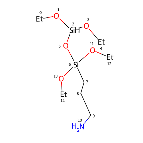 CCO[SiH](OCC)O[Si](CCCN)(OCC)OCC